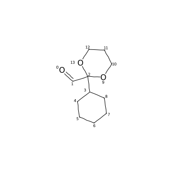 O=CC1(C2CCCCC2)OCCCO1